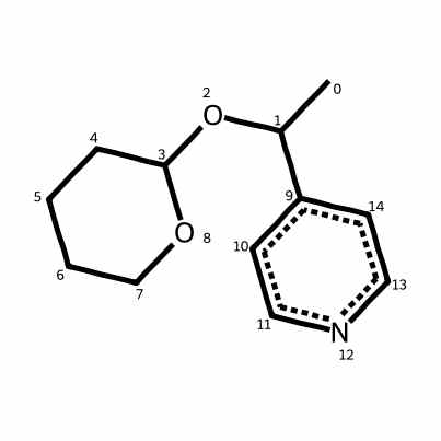 CC(OC1CCCCO1)c1ccncc1